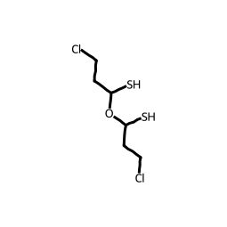 SC(CCCl)OC(S)CCCl